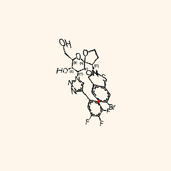 OC[C@H]1O[C@]2(OCC[C@H]2N2Cc3ccc(Br)cc3S2)[C@H](O)[C@@H](n2cc(-c3cc(F)c(F)c(F)c3)nn2)[C@H]1O